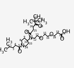 CC(C)CCC(=O)N1CCC(N(CCOCCOCCC(=O)O)C(=O)CCC(=O)C(C)(C)C)CC1